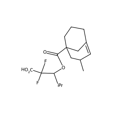 CC1C=C2CCCC(C(=O)OC(C(C)C)C(F)(F)C(=O)O)(C2)C1